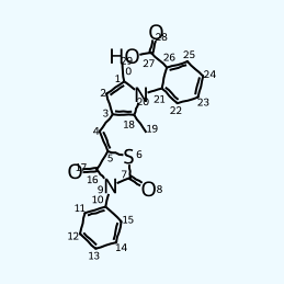 Cc1cc(C=C2SC(=O)N(c3ccccc3)C2=O)c(C)n1-c1ccccc1C(=O)O